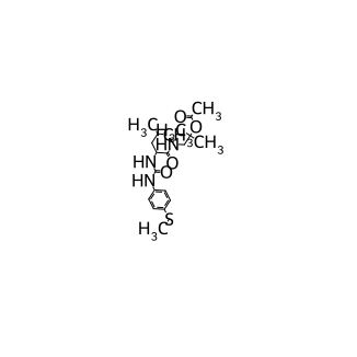 CSc1ccc(NC(=O)NC(CC(C)C)C(=O)NCC(C)(C)OC(C)=O)cc1